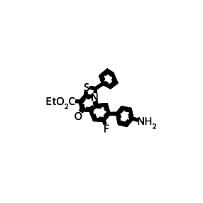 CCOC(=O)c1c2n(c3cc(-c4ccc(N)cc4)c(F)cc3c1=O)C(c1ccccc1)S2